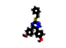 COc1ccc(-c2nnc(SCc3ccccc3)nc2-c2ccc(OC)cc2)cc1